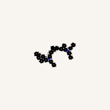 CC1(C)c2ccccc2-c2ccc(-c3cccc(-c4ccc(N(c5ccc(-c6ccccc6)cc5)c5ccc(-c6ccc(-c7cccc8c7C(C)(C)c7cc(-c9ccc(-c%10ccc(N(c%11ccc(-c%12ccccc%12)cc%11)c%11ccc(-c%12ccccc%12)cc%11)cc%10-c%10ccccc%10)cc9)ccc7-8)cc6)cc5)cc4-c4ccccc4)c3)cc21